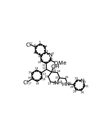 COc1nc2ccc(Cl)cc2cc1C(c1ccc(Cl)cc1)C1(O)CCNC(CNc2cccnc2)C1